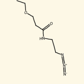 CCOCCC(=O)NCCN=[N+]=[N-]